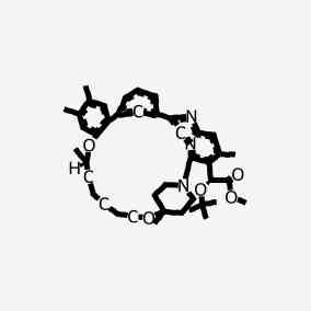 COC(=O)[C@@H](OC(C)(C)C)c1c(C)cc2nc3cn2c1N1CCC(C)(CC1)OCCCCC[C@H](C)Oc1cc(C)c(C)cc1-c1cccc-3c1